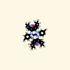 Cc1ccc2c(c1)N(c1cc(C(C)(C)C)nc(C(C)(C)C)c1)/C(=C1\N(c3cc(C(C)(C)C)nc(C(C)(C)C)c3)c3ccc(C)cc3N1c1cc(C(C)(C)C)nc(C(C)(C)C)c1)N2c1cc(C(C)(C)C)nc(C(C)(C)C)c1